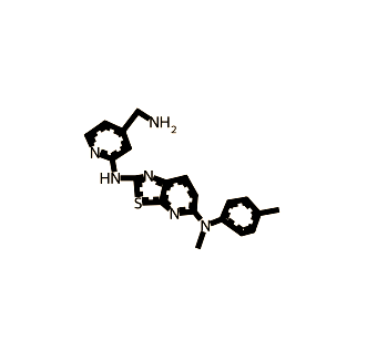 Cc1ccc(N(C)c2ccc3nc(Nc4cc(CN)ccn4)sc3n2)cc1